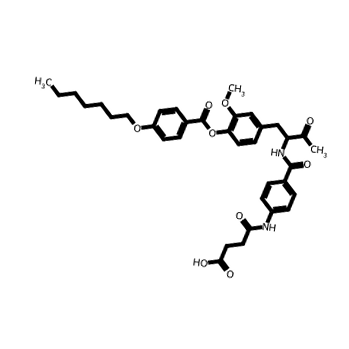 CCCCCCCOc1ccc(C(=O)Oc2ccc(CC(NC(=O)c3ccc(NC(=O)CCC(=O)O)cc3)C(C)=O)cc2OC)cc1